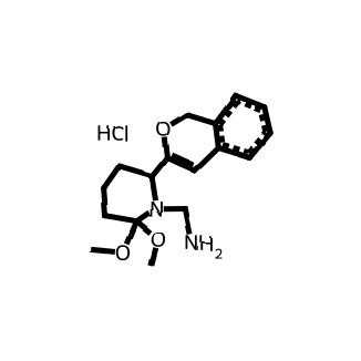 COC1(OC)CCCC(C2=Cc3ccccc3CO2)N1CN.Cl